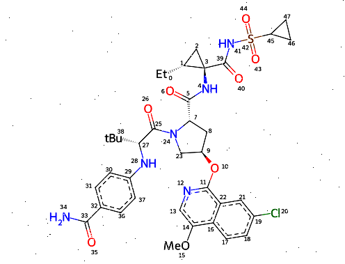 CC[C@@H]1C[C@]1(NC(=O)[C@@H]1C[C@@H](Oc2ncc(OC)c3ccc(Cl)cc23)CN1C(=O)[C@H](Nc1ccc(C(N)=O)cc1)C(C)(C)C)C(=O)NS(=O)(=O)C1CC1